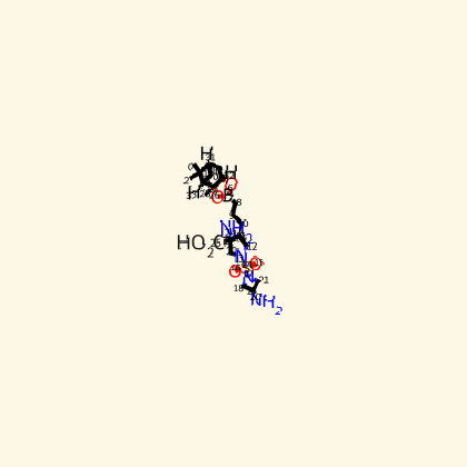 CC1(C)[C@H]2C[C@@H]3OB(CCC[C@H]4CN(S(=O)(=O)N5CC(N)C5)C[C@@]4(N)C(=O)O)O[C@]3(C)[C@@H]1C2